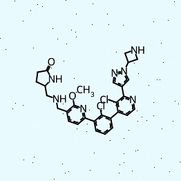 COc1nc(-c2cccc(-c3ccnc(-c4cnn(C5CNC5)c4)c3Cl)c2Cl)ccc1CNCC1CCC(=O)N1